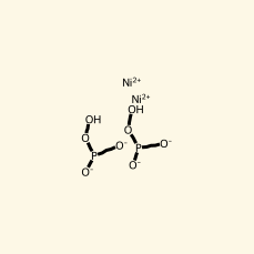 [Ni+2].[Ni+2].[O-]P([O-])OO.[O-]P([O-])OO